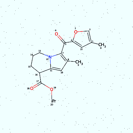 Cc1coc(C(=O)c2c(C)cc3n2CCCC3C(=O)OC(C)C)c1